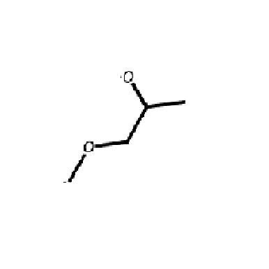 [CH2]OCC(C)[O]